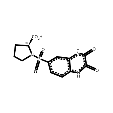 O=C(O)[C@@H]1CCCN1S(=O)(=O)c1ccc2[nH]c(=O)c(=O)[nH]c2c1